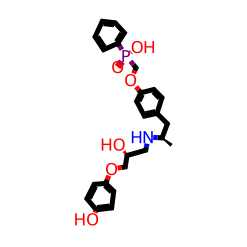 C[C@H](Cc1ccc(OCP(=O)(O)c2ccccc2)cc1)NC[C@H](O)COc1ccc(O)cc1